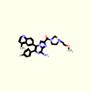 COCCN1CCN(C(=O)c2cn3c(-c4ccc5nccc(C)c5c4)c(-c4ccc(F)cc4)nc(N)c3n2)CC1